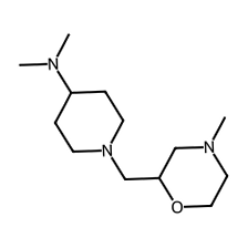 CN1CCOC(CN2CCC(N(C)C)CC2)C1